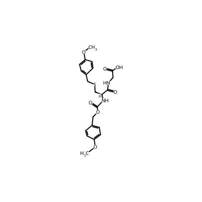 COc1ccc(COC(=O)N[C@@H](CSCc2ccc(OC)cc2)C(=O)NCC(=O)O)cc1